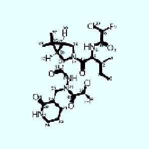 CC[C@H](C)[C@H](NC(=O)[C@H](F)Cl)C(=O)N1C[C@H]2[C@@H]([C@H]1C(=O)NN(C[C@H]1CCCNC1=O)C(=O)[C@H](F)Cl)C2(C)C